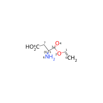 C=COC(=O)[C@@H](N)CC(=O)O